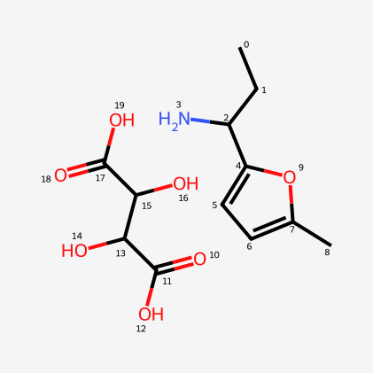 CCC(N)c1ccc(C)o1.O=C(O)C(O)C(O)C(=O)O